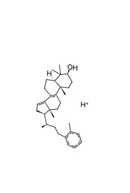 Cc1ccccc1CC[C@@H](C)[C@H]1CC=C2C3=C(CC[C@@]21C)[C@@]1(C)CC[C@H](O)C(C)(C)[C@@H]1CC3.[H+]